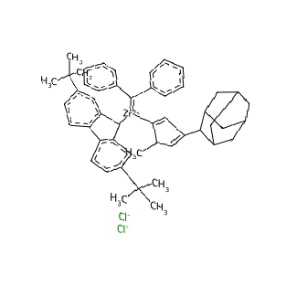 CC1C=C(C2C3CC4CC(C3)CC2C4)C=[C]1[Zr+2](=[C](c1ccccc1)c1ccccc1)[CH]1c2cc(C(C)(C)C)ccc2-c2ccc(C(C)(C)C)cc21.[Cl-].[Cl-]